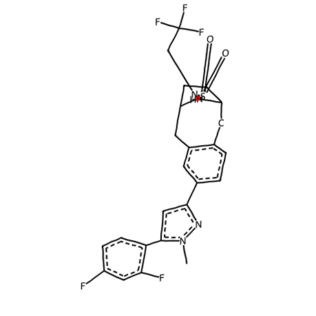 Cn1nc(-c2ccc3c(c2)CC2CCC(C3)C23CN(CC(F)(F)F)S(=O)(=O)N3)cc1-c1ccc(F)cc1F